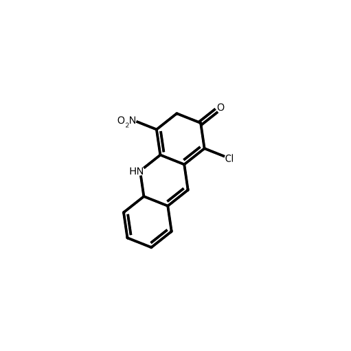 O=C1CC([N+](=O)[O-])=C2NC3C=CC=CC3=CC2=C1Cl